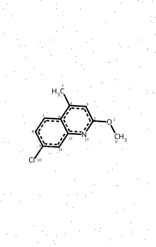 COc1cc(C)c2ccc(Cl)cc2n1